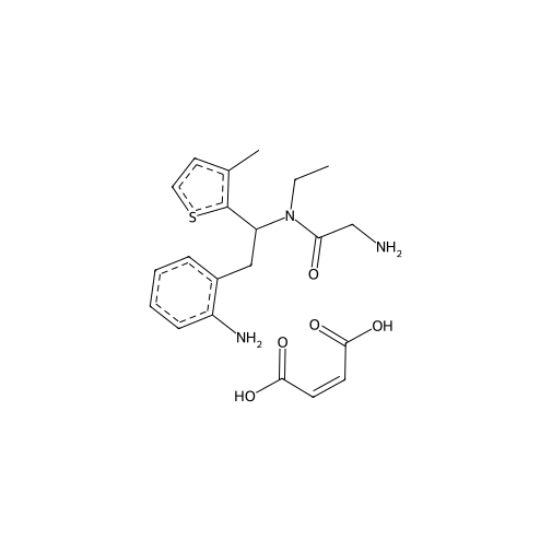 CCN(C(=O)CN)C(Cc1ccccc1N)c1sccc1C.O=C(O)/C=C\C(=O)O